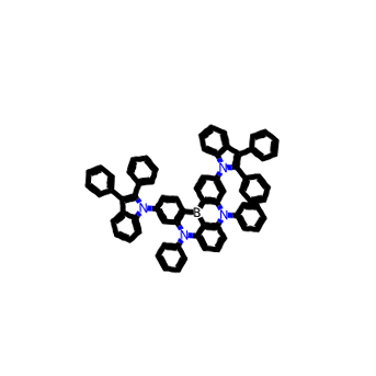 c1ccc(-c2c(-c3ccccc3)n(-c3ccc4c(c3)N(c3ccccc3)c3cccc5c3B4c3ccc(-n4c(-c6ccccc6)c(-c6ccccc6)c6ccccc64)cc3N5c3ccccc3)c3ccccc23)cc1